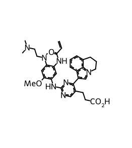 C=CC(=O)Nc1cc(Nc2ncc(CCC(=O)O)c(-c3cn4c5c(cccc35)CCC4)n2)c(OC)cc1N(C)CCN(C)C